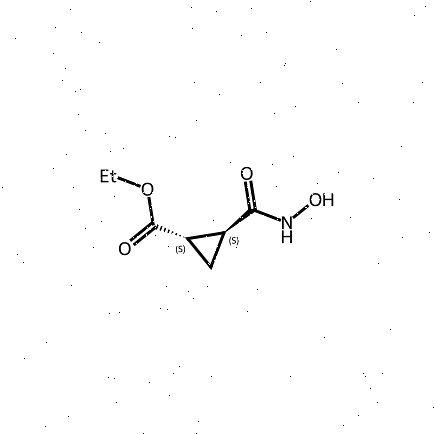 CCOC(=O)[C@H]1C[C@@H]1C(=O)NO